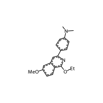 CCOc1nc(-c2ccc(N(C)C)cc2)cc2cc(OC)ccc12